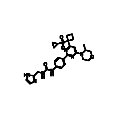 C[C@H]1COCCN1c1cc(C2(S(=O)(=O)C3CC3)CCC2)nc(-c2ccc(NC(=O)NCc3ncc[nH]3)cc2)n1